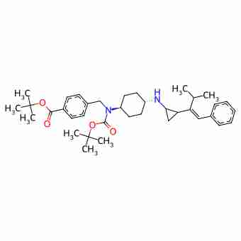 CC(C)/C(=C\c1ccccc1)C1CC1N[C@H]1CC[C@H](N(Cc2ccc(C(=O)OC(C)(C)C)cc2)C(=O)OC(C)(C)C)CC1